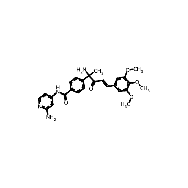 COc1cc(C=CC(=O)C(C)(N)c2ccc(C(=O)Nc3ccnc(N)c3)cc2)cc(OC)c1OC